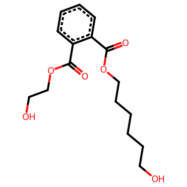 O=C(OCCO)c1ccccc1C(=O)OCCCCCCO